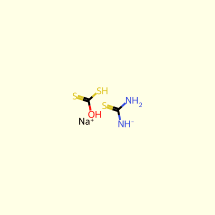 OC(=S)S.[NH-]C(N)=S.[Na+]